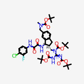 CN(Cc1ccc2c(c1)[C@H](NC(=O)C(=O)Nc1ccc(Cl)c(F)c1)[C@@H](CN(C(=O)OC(C)(C)C)/C(=N/C(=O)OC(C)(C)C)NC(=O)OC(C)(C)C)C2)C(=O)OC(C)(C)C